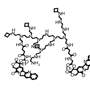 CCC1(OC(=O)NC(=O)CCC(=O)NCCN(CCNC2CCC2)CCN(CCNC2CCC2)CCN(CCN)CCNCCN(CCNCCN(CCNCCN)C2CCC2)CCN(CCNCCNCCNC2CCC2)CCNC(=O)CCC(=O)NCC(=O)O[C@]2(CC)C(=O)OCc3c2cc2n(c3=O)Cc3cc4ccccc4nc3-2)C(=O)OCc2c1cc1n(c2=O)Cc2cc3ccccc3nc2-1